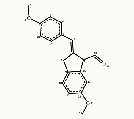 COc1ccc(/C=C2\Cc3ccc(OC)cc3C2C=O)cc1